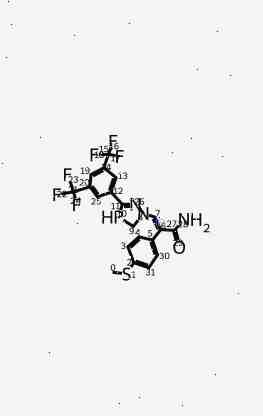 CSc1ccc(/C(=C\N2CPC(c3cc(C(F)(F)F)cc(C(F)(F)F)c3)=N2)C(N)=O)cc1